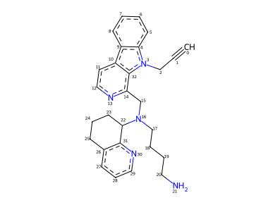 C#CCn1c2ccccc2c2ccnc(CN(CCCCN)C3CCCc4cccnc43)c21